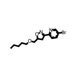 CCCCCOCC1CC(c2ccc(Br)cn2)=NO1